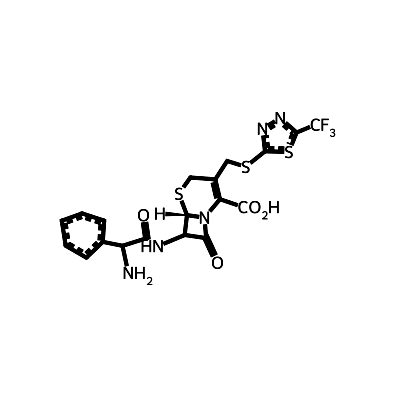 NC(C(=O)NC1C(=O)N2C(C(=O)O)=C(CSc3nnc(C(F)(F)F)s3)CS[C@@H]12)c1ccccc1